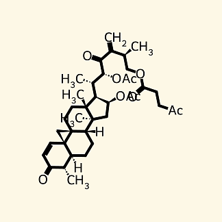 C=C(C(=O)[C@H](OC(C)=O)[C@@H](C)[C@H]1[C@@H](OC(C)=O)C[C@@]2(C)[C@@H]3CC[C@H]4[C@H](C)C(=O)C=C[C@@]45C[C@@]35CC[C@]12C)[C@@H](C)COC(=O)CCC(C)=O